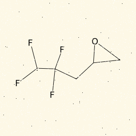 F[C](F)C(F)(F)CC1CO1